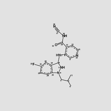 CC(C)CN1NC(Nc2cnccc2C(=O)NC#N)c2cc(F)ccc21